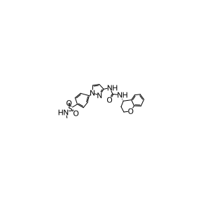 CNS(=O)(=O)c1ccc(-n2ccc(NC(=O)N[C@H]3CCOc4ccccc43)n2)cc1